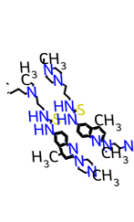 CCCCN(CC)CCCNC(=S)Nc1ccc2nc(N3CCN(C)CC3)cc(C)c2c1.CCN1CCN(CCCNC(=S)Nc2ccc3nc(N(C)CCN)cc(C)c3c2)CC1